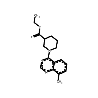 CCOC(=O)C1CCCN(c2ncnc3c(C)cccc23)C1